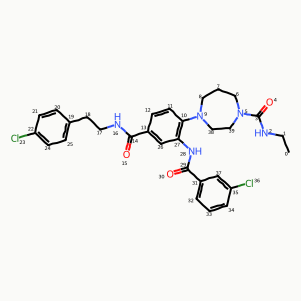 CCNC(=O)N1CCCN(c2ccc(C(=O)NCCc3ccc(Cl)cc3)cc2NC(=O)c2cccc(Cl)c2)CC1